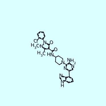 Cc1c(C(=O)NC2CCN(c3nc(-c4cccc5[nH]cnc45)cnc3N)CC2)c(=O)n(-c2ccccc2Cl)n1C